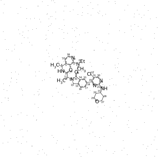 CCN(C)c1cc(C(C)NC(=O)C(C)N2Cc3ccc(-c4nc(NC5CCOCC5)ncc4Cl)cc3C2=O)ccn1